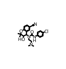 CN(C)CCN(C(=O)Nc1ccc(Cl)cc1)C1c2cc(C#N)ccc2OC(C)(C)C1O